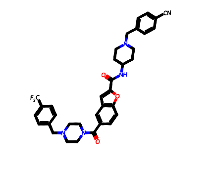 N#Cc1ccc(CN2CCC(NC(=O)c3cc4cc(C(=O)N5CCN(Cc6ccc(C(F)(F)F)cc6)CC5)ccc4o3)CC2)cc1